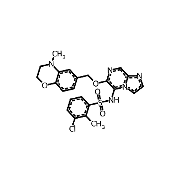 Cc1c(Cl)cccc1S(=O)(=O)Nc1c(OCc2ccc3c(c2)N(C)CCO3)ncc2nccn12